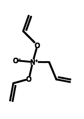 C=CC[N+]([O-])(OC=C)OC=C